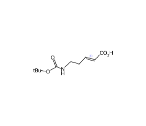 CC(C)(C)OC(=O)NCC/C=C/C(=O)O